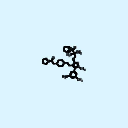 Cc1cc(C)cc(-c2c(CCN3CCN(CC(=O)N4CCCC4)CC3)c(OCC(C)(C)C(=O)N3C4CCC3CC4)nn2C)c1